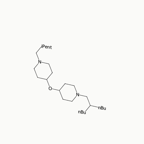 CCCCC(CCCC)CN1CCC(OC2CCN(CC(C)CCC)CC2)CC1